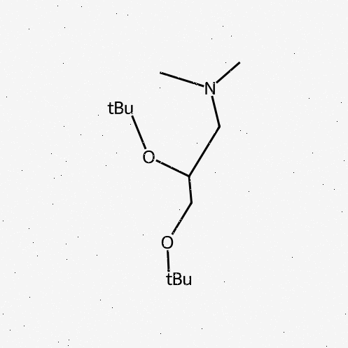 CN(C)CC(COC(C)(C)C)OC(C)(C)C